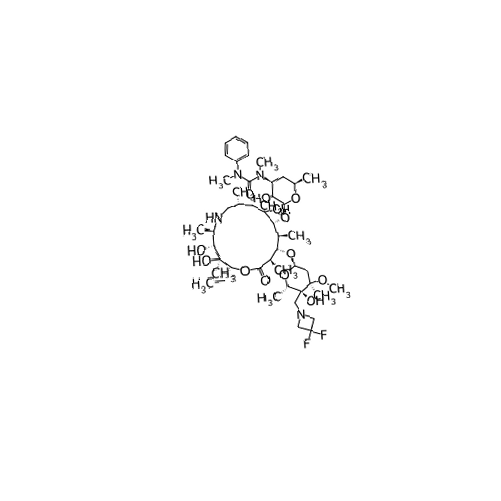 CC[C@H]1OC(=O)[C@H](C)[C@@H](O[C@H]2C[C@@](C)(OC)[C@](O)(CN3CC(F)(F)C3)[C@H](C)O2)[C@H](C)[C@@H](O[C@@H]2O[C@H](C)C[C@H](N(C)C(=O)N(C)c3ccccc3)[C@H]2O)[C@](C)(O)C[C@@H](C)CN[C@H](C)[C@@H](O)[C@]1(C)O